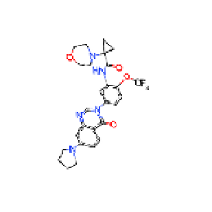 O=C(Nc1cc(-n2cnc3cc(N4CCCC4)ccc3c2=O)ccc1OC(F)(F)F)C1(N2CCOCC2)CC1